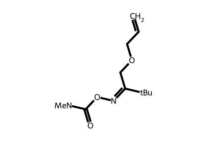 C=CCOCC(=NOC(=O)NC)C(C)(C)C